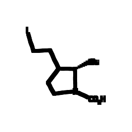 CC(C)(C)[C@H]1C(CCI)CCN1C(=O)O